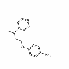 CN(CCOc1ccc(N)cc1)c1ccncc1